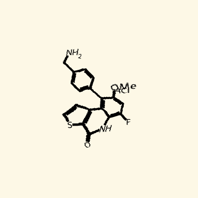 COc1cc(F)c2[nH]c(=O)c3sccc3c2c1-c1ccc(CN)cc1.Cl